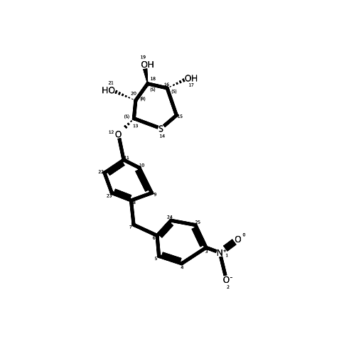 O=[N+]([O-])c1ccc(Cc2ccc(O[C@H]3SC[C@@H](O)[C@H](O)[C@H]3O)cc2)cc1